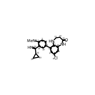 CNc1ccc(-c2cc(Cl)cc3c2NCCC(=O)N3)cc1C(=N)C1CC1